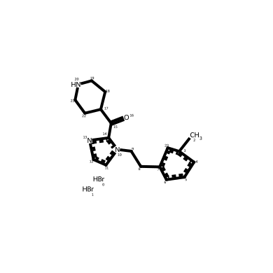 Br.Br.Cc1cccc(CCn2ccnc2C(=O)C2CCNCC2)c1